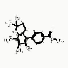 COC(=O)c1ccc(-c2c(O)c(C)c(C)c3c2CCC(C)(C)O3)cc1